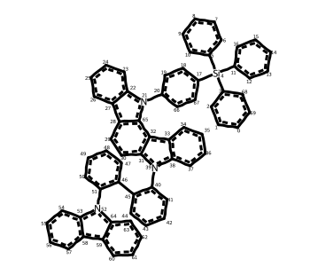 c1ccc([Si](c2ccccc2)(c2ccccc2)c2ccc(-n3c4ccccc4c4ccc5c(c6ccccc6n5-c5ccccc5-c5ccccc5-n5c6ccccc6c6ccccc65)c43)cc2)cc1